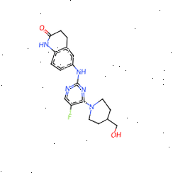 O=C1CCc2cc(Nc3ncc(F)c(N4CCC(CO)CC4)n3)ccc2N1